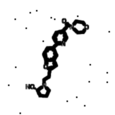 O=C(c1ccc(-c2ccc3oc(CCN4CCC[C@@H]4O)cc3c2)nc1)N1CCOCC1